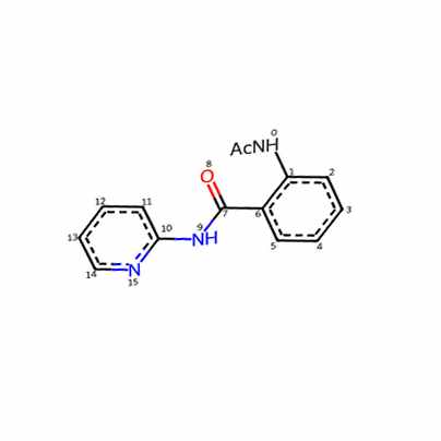 CC(=O)Nc1ccccc1C(=O)Nc1ccccn1